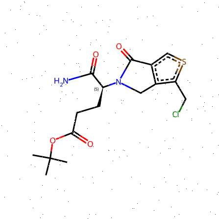 CC(C)(C)OC(=O)CC[C@@H](C(N)=O)N1Cc2c(csc2CCl)C1=O